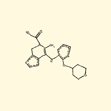 CC1=C(Nc2cccnc2OC2CCOCC2)c2ccsc2CN1C(=O)O